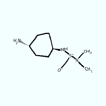 CN(C)[S+]([O-])N[C@H]1CC[C@H](N)CC1